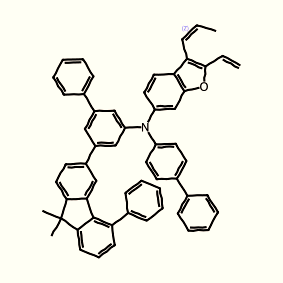 C=Cc1oc2cc(N(c3ccc(-c4ccccc4)cc3)c3cc(-c4ccccc4)cc(-c4ccc5c(c4)-c4c(-c6ccccc6)cccc4C5(C)C)c3)ccc2c1/C=C\C